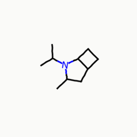 CC(C)N1C(C)CC2CCC21